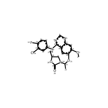 COc1cc2ncnc(Nc3ccc(F)c(Cl)c3)c2cc1OC(C)N1CC(C)OC1=O